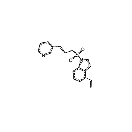 C=Cc1cccc2c1ccn2S(=O)(=O)CC=Cc1cccnc1